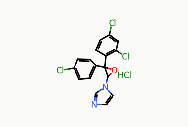 Cl.Clc1ccc(C2(c3ccc(Cl)cc3Cl)OC2n2ccnc2)cc1